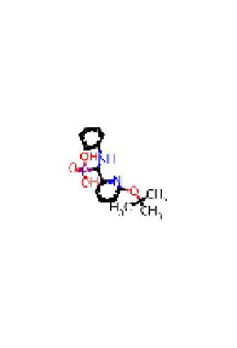 CC(C)(C)Oc1cccc(C(Nc2ccccc2)P(=O)(O)O)n1